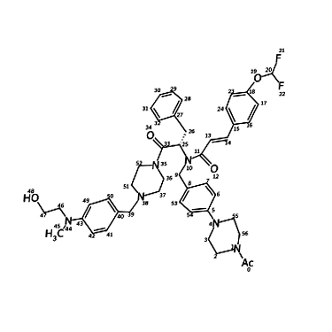 CC(=O)N1CCN(c2ccc(CN(C(=O)/C=C/c3ccc(OC(F)F)cc3)[C@@H](Cc3ccccc3)C(=O)N3CCN(Cc4ccc(N(C)CCO)cc4)CC3)cc2)CC1